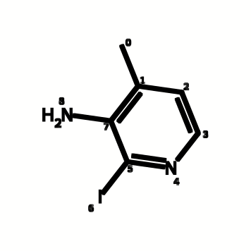 Cc1ccnc(I)c1N